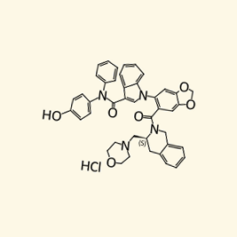 Cl.O=C(c1cn(-c2cc3c(cc2C(=O)N2Cc4ccccc4C[C@H]2CN2CCOCC2)OCO3)c2ccccc12)N(c1ccccc1)c1ccc(O)cc1